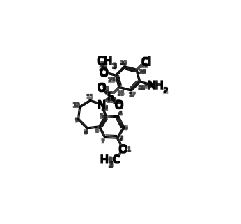 COc1ccc2c(c1)CCCCN2S(=O)(=O)c1cc(N)c(Cl)cc1OC